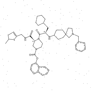 CC1CC=C(CNC(=O)[C@@H]2CN(C(=O)Oc3cccc4ccccc34)CCN2C(=O)[C@@H](CC2CCCCC2)NC2CCC3(CC2)CCN(Cc2ccccc2)C3)S1